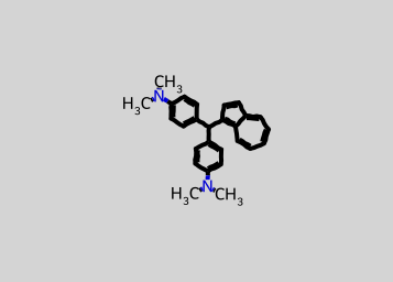 CN(C)c1ccc(C(c2ccc(N(C)C)cc2)c2ccc3cccccc2-3)cc1